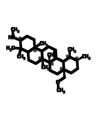 CN[C@H]1CC[C@@]2(C)C(CC[C@]3(C)C2CC=C2C4[C@@H](C)[C@H](C)CC[C@]4(COC)CC[C@]23C)C1(C)C